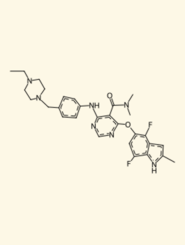 CCN1CCN(Cc2ccc(Nc3ncnc(Oc4cc(F)c5[nH]c(C)cc5c4F)c3C(=O)N(C)C)cc2)CC1